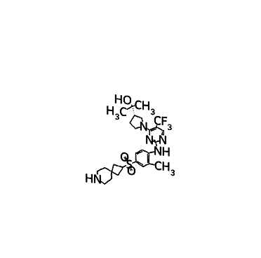 Cc1cc(S(=O)(=O)C2CC3(CCNCC3)C2)ccc1Nc1ncc(C(F)(F)F)c(N2CC[C@H](C(C)(C)O)C2)n1